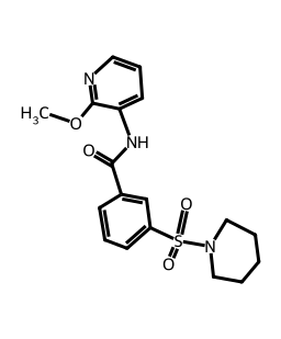 COc1ncccc1NC(=O)c1cccc(S(=O)(=O)N2CCCCC2)c1